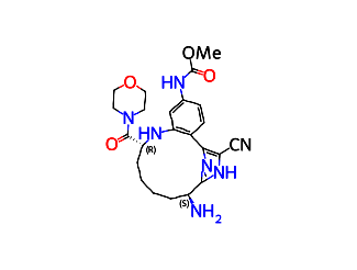 COC(=O)Nc1ccc2c(c1)N[C@@H](C(=O)N1CCOCC1)CCCC[C@H](N)c1nc-2c(C#N)[nH]1